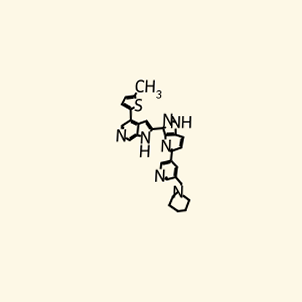 Cc1ccc(-c2cncc3[nH]c(-c4n[nH]c5ccc(-c6cncc(CN7CCCCC7)c6)nc45)cc23)s1